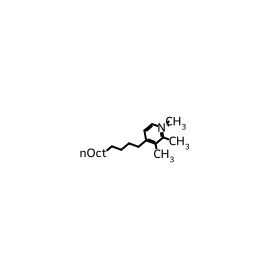 CCCCCCCCCCCCc1cc[n+](C)c(C)c1C